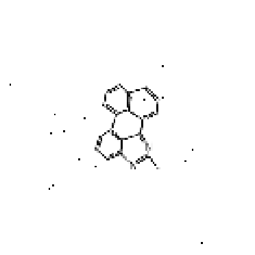 Cc1nc(-c2ccccc2)c2c(-c3ccccc3)cccc2n1